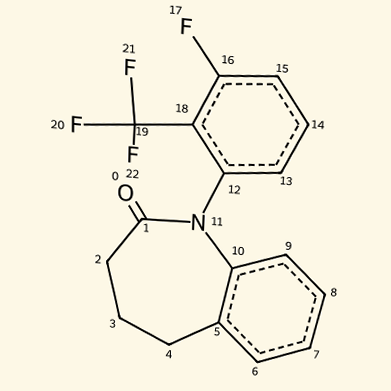 O=C1CCCc2ccccc2N1c1cccc(F)c1C(F)(F)F